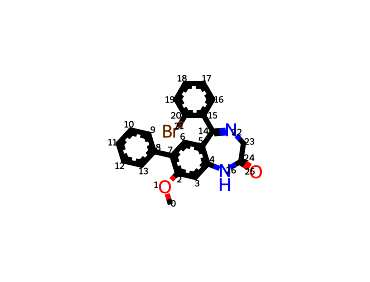 COc1cc2c(cc1-c1ccccc1)C(c1ccccc1Br)=NCC(=O)N2